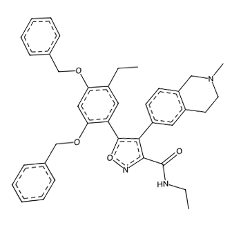 CCNC(=O)c1noc(-c2cc(CC)c(OCc3ccccc3)cc2OCc2ccccc2)c1-c1ccc2c(c1)CCN(C)C2